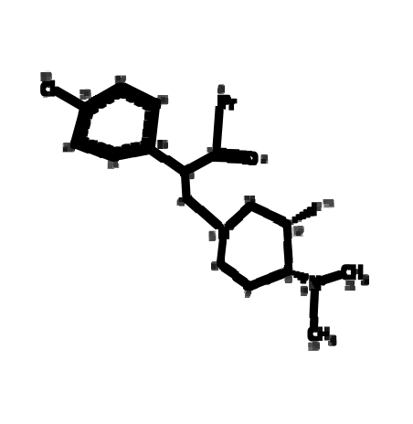 CC(C)C(=O)C(CN1CC[C@@H](N(C)C)[C@@H](F)C1)c1ccc(Cl)cc1